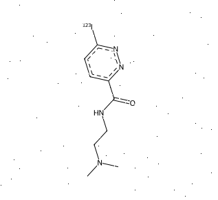 CN(C)CCNC(=O)c1ccc([123I])nn1